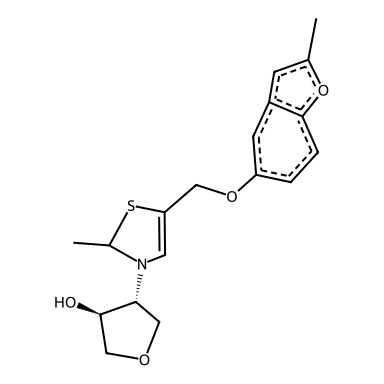 Cc1cc2cc(OCC3=CN([C@@H]4COC[C@H]4O)C(C)S3)ccc2o1